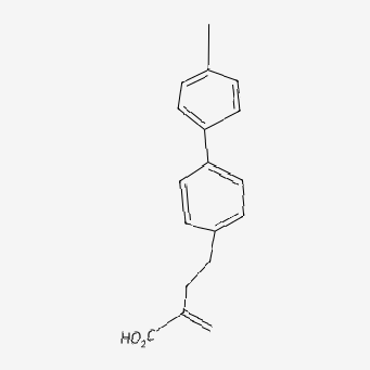 C=C(CCc1ccc(-c2ccc(C)cc2)cc1)C(=O)O